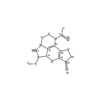 CCC1NC2CCC(C(C)=O)C3=C2C1CC1=C3CCC1=O